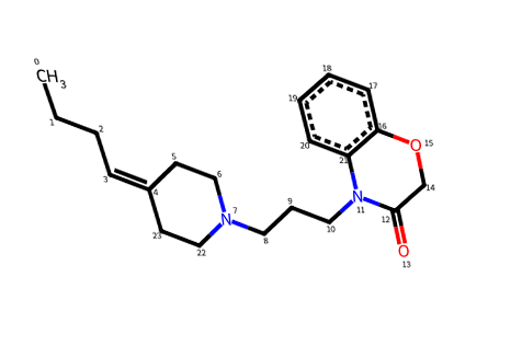 CCCC=C1CCN(CCCN2C(=O)COc3ccccc32)CC1